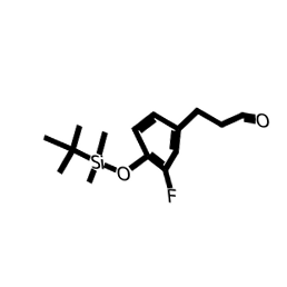 CC(C)(C)[Si](C)(C)Oc1ccc(CCC=O)cc1F